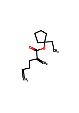 C=CCCC(=C)C(=O)OC1(CC)CCCC1